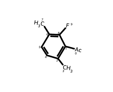 CC(=O)c1c(C)ccc(C)c1F